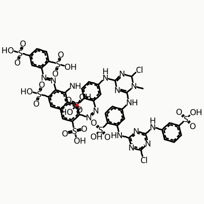 CN1C(Nc2ccc(S(=O)(=O)O)c(Nc3nc(Cl)nc(Nc4cccc(S(=O)(=O)O)c4)n3)c2)=NC(Nc2ccc(S(=O)(=O)O)c(N=Nc3c(S(=O)(=O)O)cc4cc(S(=O)(=O)O)c(N=Nc5cc(S(=O)(=O)O)ccc5S(=O)(=O)O)c(N)c4c3O)c2)=NC1Cl